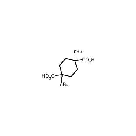 CCCCC1(C(=O)O)CCC(CCCC)(C(=O)O)CC1